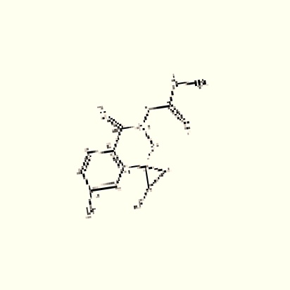 CC(C)(C)OC(=O)CN1C[C@@]2(CC2F)c2cc(Br)ccc2C1=O